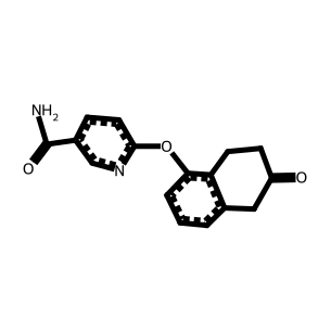 NC(=O)c1ccc(Oc2cccc3c2CCC(=O)C3)nc1